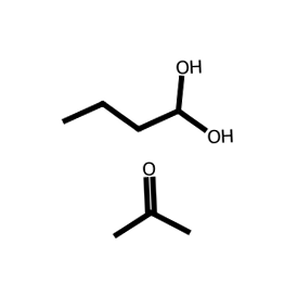 CC(C)=O.CCCC(O)O